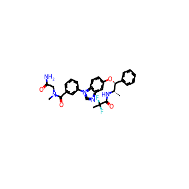 C[C@H](NC(=O)C(C)(F)F)[C@H](Oc1ccc2c(c1)ncn2-c1cccc(C(=O)N(C)CC(N)=O)c1)c1ccccc1